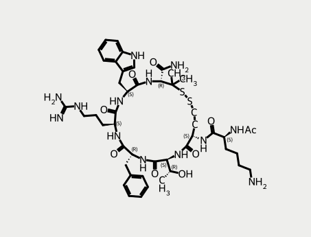 CC(=O)N[C@@H](CCCCN)C(=O)N[C@H]1CCSSC(C)(C)[C@@H](C(N)=O)NC(=O)[C@H](Cc2c[nH]c3ccccc23)NC(=O)[C@H](CCCNC(=N)N)NC(=O)[C@@H](Cc2ccccc2)NC(=O)[C@H]([C@@H](C)O)NC1=O